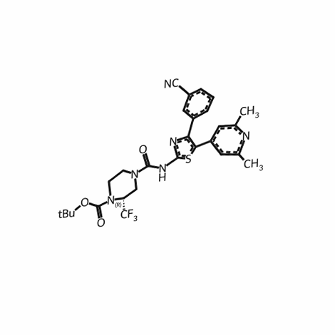 Cc1cc(-c2sc(NC(=O)N3CCN(C(=O)OC(C)(C)C)[C@@H](C(F)(F)F)C3)nc2-c2cccc(C#N)c2)cc(C)n1